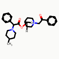 CC1CCN(C(C(=O)O[C@H]2C[N+]3(CC(=O)c4ccccc4)CCC2CC3)c2ccccc2)CC1